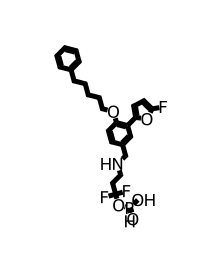 O=[PH](O)OC(F)(F)CCNCc1ccc(OCCCCCc2ccccc2)c(-c2ccc(F)o2)c1